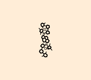 Cc1ccc(N(c2cccc(-c3cccc(-c4c(C)cccc4C)c3)c2O)c2ccc3ccc4c(N(c5ccc(C)cc5C)c5cccc6c5oc5c(-c7c(C)cccc7C)cccc56)ccc5ccc2c3c54)c(C)c1